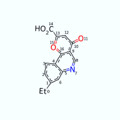 CCc1ccc2c(c1)ncc1c(=O)cc(C(=O)O)oc12